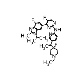 C=C(c1ccc(Nc2ncc(F)c(-c3cc(F)c4nc(C)n(C(C)C)c4c3)n2)nc1)C1(F)CCN(CC)CC1